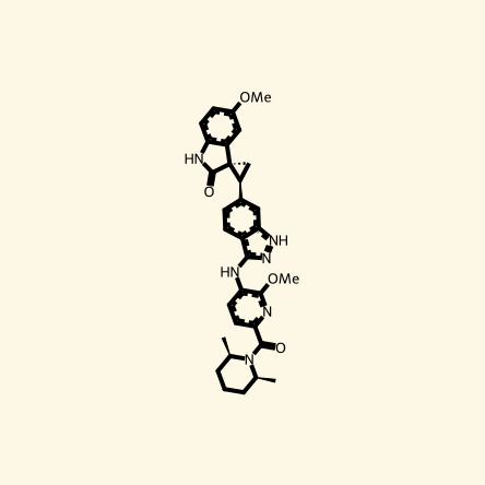 COc1ccc2c(c1)[C@]1(C[C@H]1c1ccc3c(Nc4ccc(C(=O)N5[C@H](C)CCC[C@@H]5C)nc4OC)n[nH]c3c1)C(=O)N2